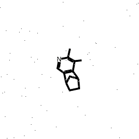 Cc1ncc2c(c1C)C1CCC2C1